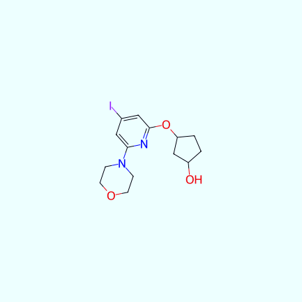 OC1CCC(Oc2cc(I)cc(N3CCOCC3)n2)C1